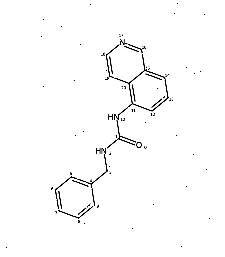 O=C(NCc1ccccc1)Nc1cccc2cnccc12